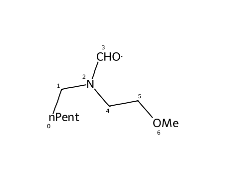 CCCCCCN([C]=O)CCOC